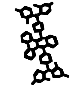 Cc1ccc(N(c2ccc(-c3c4ccccc4c(-c4ccc(N(c5ccc(C)cc5C)c5ccc(C)cc5C)cc4)c4c5ccccc5c5ccccc5c34)cc2)c2ccc(C)cc2C)c(C)c1